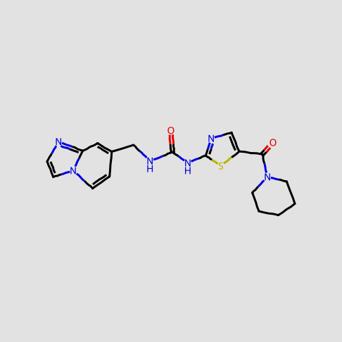 O=C(NCc1ccn2ccnc2c1)Nc1ncc(C(=O)N2CCCCC2)s1